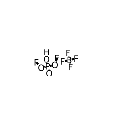 F[B-](F)(F)F.O=P(O)(OF)OF